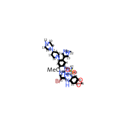 COc1cc(N2CCC(N3CCN(C)CC3)CC2)c(-c2cnn(C)c2)cc1Nc1ncc(Br)c(Nc2cc3c(cc2NS(C)(=O)=O)OCO3)n1